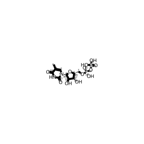 Cc1cn([C@@H]2O[C@H](COP(=O)(O)OP(=O)(O)O)[C@H](O)C2O)c(=O)[nH]c1=O